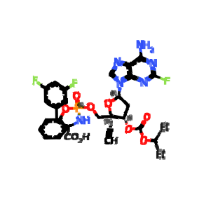 C#C[C@]1(CO[P@@](=O)(NC(Cc2cc(F)cc(F)c2)C(=O)O)Oc2ccccc2)O[C@@H](n2cnc3c(N)nc(F)nc32)C[C@@H]1OC(=O)OC(CC)CC